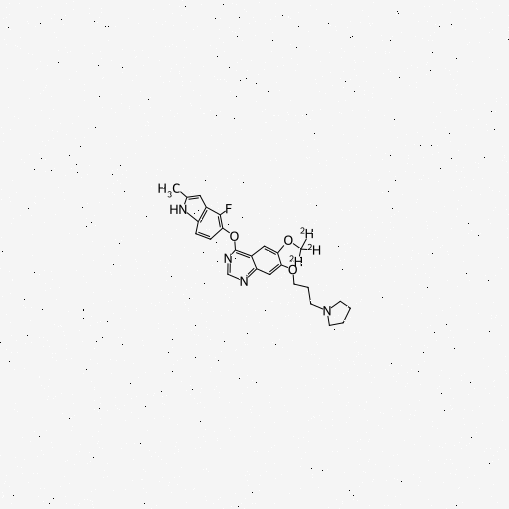 [2H]C([2H])([2H])Oc1cc2c(Oc3ccc4[nH]c(C)cc4c3F)ncnc2cc1OCCCN1CCCC1